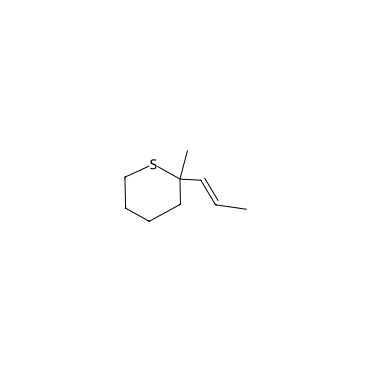 CC=CC1(C)CCCCS1